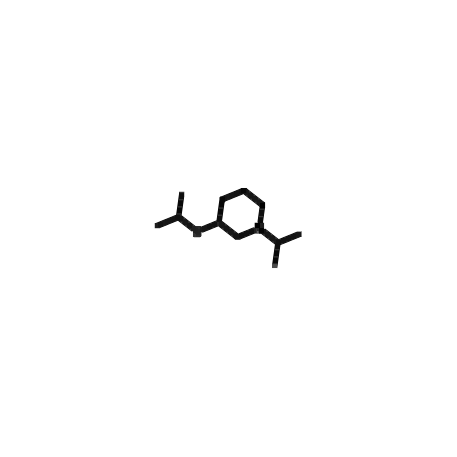 CC(C)SC1CCCN(C(C)C)C1